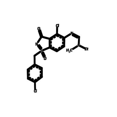 CCN(C)/C=N\c1ccc2c(c1Cl)C(=O)N=S2(=O)Cc1ccc(Cl)cc1